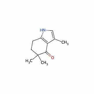 Cc1c[nH]c2c1C(=O)C(C)(C)CC2